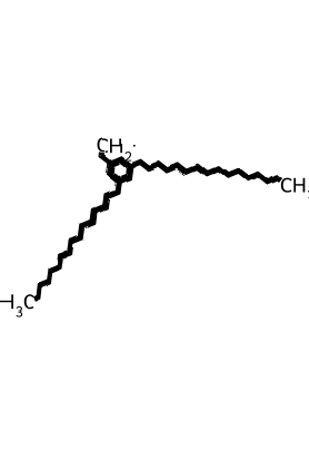 [CH2]Cc1cc(CCCCCCCCCCCCCCCC)cc(CCCCCCCCCCCCCCCC)c1